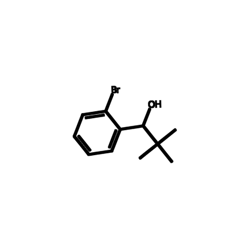 CC(C)(C)C(O)c1ccccc1Br